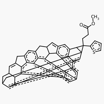 COC(=O)CCC1(c2cccs2)C2c3cc4c5c6c3c3c7c8c9c%10c%11c%12c%13c%14c(cc%15c%16c(c(c%11c%14%16)c6c3%10)C5C(C=4)C%15)CC%13=CC(CC8CC721)C%129